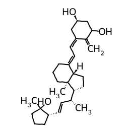 C=C1/C(=C\C=C2/CCC[C@]3(C)[C@@H]([C@H](C)/C=C/[C@@H]4CCCC4(C)O)CC[C@@H]23)C[C@@H](O)CC1O